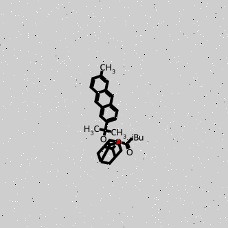 CCC(C)C(=O)OC1C2CC3CC1CC(C2)C3OC(C)(C)c1ccc2cc3cc(C)ccc3cc2c1